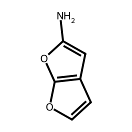 Nc1cc2ccoc2o1